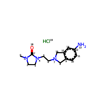 CN1CCN(CCN2Cc3ccc(N)cc3C2)C1=O.Cl